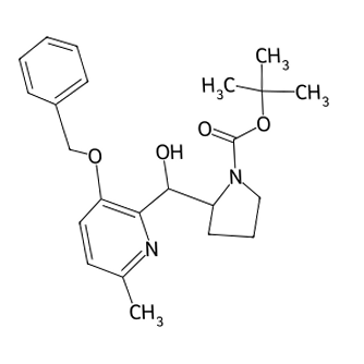 Cc1ccc(OCc2ccccc2)c(C(O)C2CCCN2C(=O)OC(C)(C)C)n1